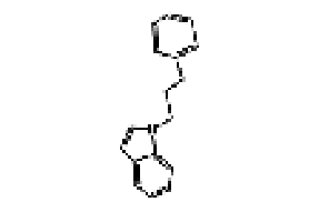 c1ccc(CCCn2ccc3ccccc32)cc1